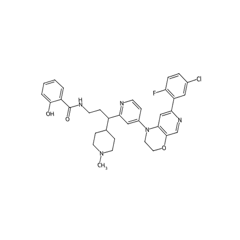 CN1CCC(C(CCNC(=O)c2ccccc2O)c2cc(N3CCOc4cnc(-c5cc(Cl)ccc5F)cc43)ccn2)CC1